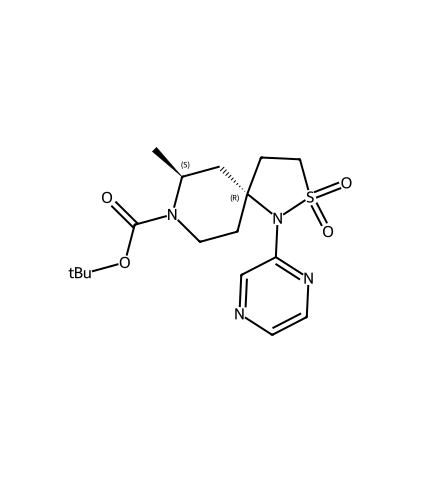 C[C@H]1C[C@]2(CCN1C(=O)OC(C)(C)C)CCS(=O)(=O)N2c1cnccn1